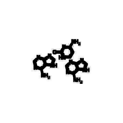 Nc1cc[nH]c(=O)n1.Nc1ncnc2nc[nH]c12.Nc1ncnc2nc[nH]c12